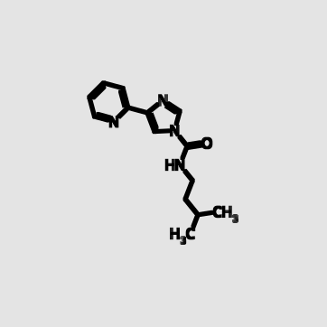 CC(C)CCNC(=O)n1cnc(-c2ccccn2)c1